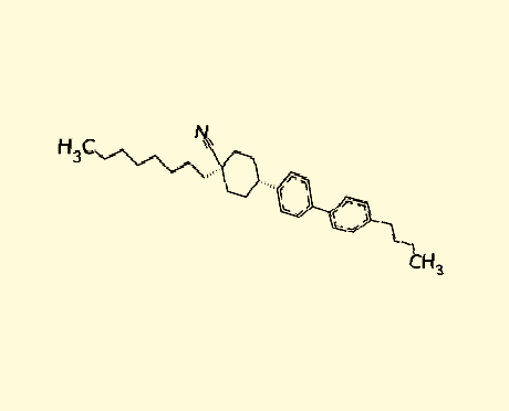 CCCCCCCC[C@]1(C#N)CC[C@H](c2ccc(-c3ccc(CCCC)cc3)cc2)CC1